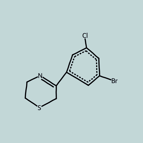 Clc1cc(Br)cc(C2=NCCSC2)c1